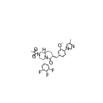 COc1cc(C=C2CC[C@H]3CN(S(C)(=O)=O)C[C@@H](c4cc(F)c(F)c(F)c4)N3C2=O)ccc1-n1cnc(C)c1